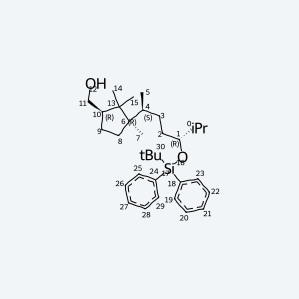 CC(C)[C@@H](CC[C@H](C)[C@@]1(C)CC[C@@H](CO)C1(C)C)O[Si](c1ccccc1)(c1ccccc1)C(C)(C)C